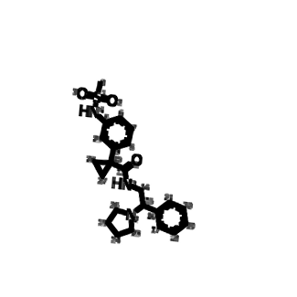 CS(=O)(=O)Nc1cccc(C2(C(=O)NCC(c3ccccc3)N3CCCC3)CC2)c1